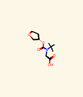 CC(C)(C)N(CC(=O)O)C(=O)O[C@H]1CCOC1